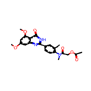 COc1cc(OC)c2c(=O)[nH]c(-c3ccc(N(C)C(=O)COC(C)=O)c(C)c3)nc2c1